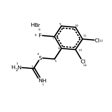 Br.N=C(N)SCc1c(F)ccc(Cl)c1Cl